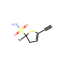 [2H]C1(S(N)(=O)=O)CC=C(C#C)S1